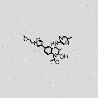 COCCn1cc(-c2ccc3c(c2)[C@H](Nc2cnc(C)cn2)[C@@H](C)[C@H](O)N3C(C)=O)cn1